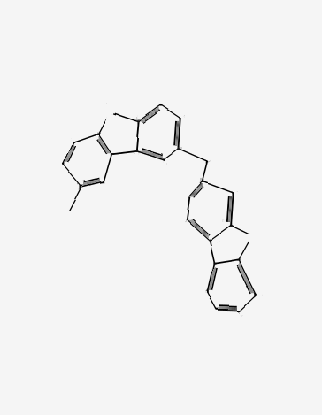 Cc1ccc2sc3ccc(Cc4ccc5c(c4)sc4ccccc45)cc3c2c1